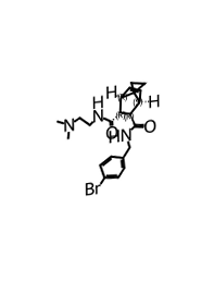 CN(C)CCNC(=O)[C@H]1[C@H](C(=O)NCc2ccc(Br)cc2)[C@@H]2C=C[C@H]1C21CC1